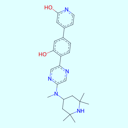 CN(c1cnc(-c2ccc(-c3ccnc(O)c3)cc2O)cn1)C1CC(C)(C)NC(C)(C)C1